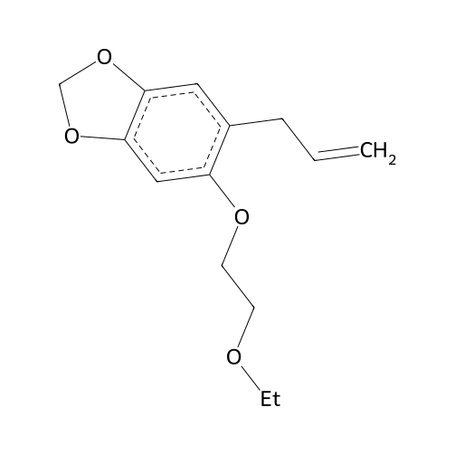 C=CCc1cc2c(cc1OCCOCC)OCO2